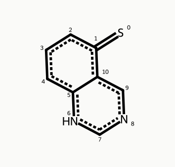 S=c1cccc2[nH]cncc1-2